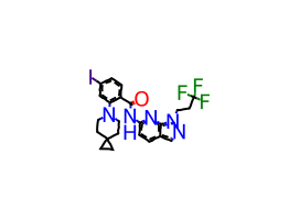 O=C(Nc1ccc2cnn(CCC(F)(F)F)c2n1)c1ccc(I)cc1N1CCC2(CC1)CC2